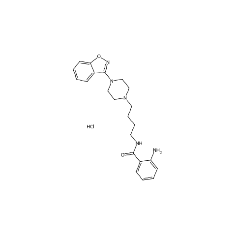 Cl.Nc1ccccc1C(=O)NCCCCN1CCN(c2noc3ccccc23)CC1